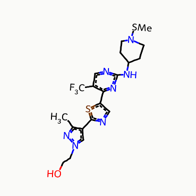 CSN1CCC(Nc2ncc(C(F)(F)F)c(-c3cnc(-c4cn(CCO)nc4C)s3)n2)CC1